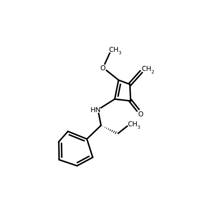 C=C1C(=O)C(N[C@H](CC)c2ccccc2)=C1OC